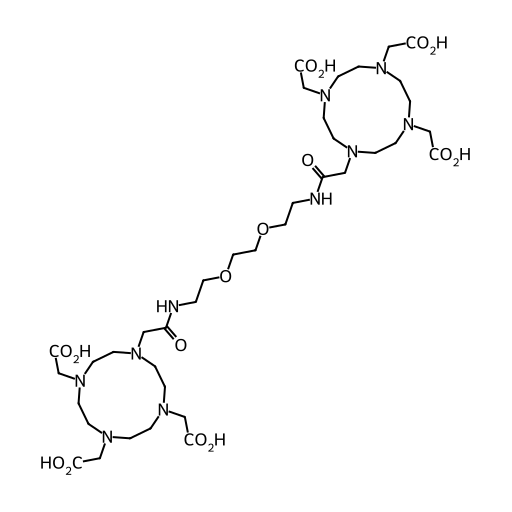 O=C(O)CN1CCN(CC(=O)O)CCN(CC(=O)NCCOCCOCCNC(=O)CN2CCN(CC(=O)O)CCN(CC(=O)O)CCN(CC(=O)O)CC2)CCN(CC(=O)O)CC1